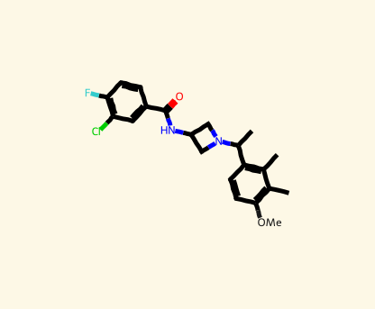 COc1ccc(C(C)N2CC(NC(=O)c3ccc(F)c(Cl)c3)C2)c(C)c1C